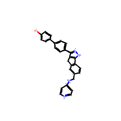 Oc1ccc(-c2ccc(-c3n[nH]c4c3Cc3cc(CNc5ccncc5)ccc3-4)cc2)cc1